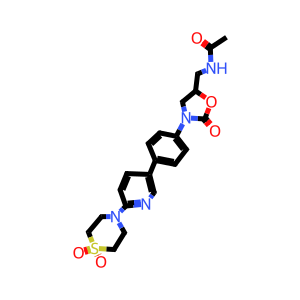 CC(=O)NCC1CN(c2ccc(-c3ccc(N4CCS(=O)(=O)CC4)nc3)cc2)C(=O)O1